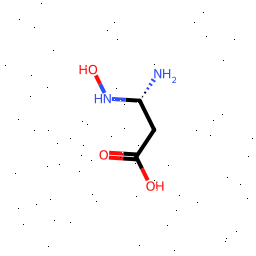 N[C@H](CC(=O)O)NO